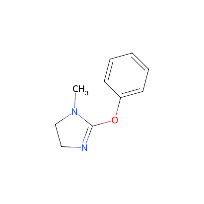 CN1CCN=C1Oc1ccccc1